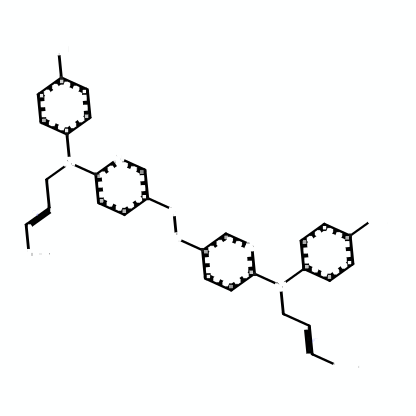 CCCCCC/C=C/CN(c1ccc(C)cc1)c1ccc(SSc2ccc(N(C/C=C/CCCCCC)c3ccc(C)cc3)nc2)cn1